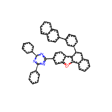 c1ccc(-c2nc(-c3ccccc3)nc(-c3ccc4c(c3)oc3c5ccccc5cc(-c5cccc(-c6ccc7ccccc7c6)c5)c43)n2)cc1